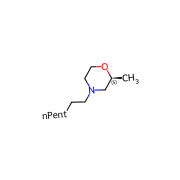 CCCCCCCN1CCO[C@@H](C)C1